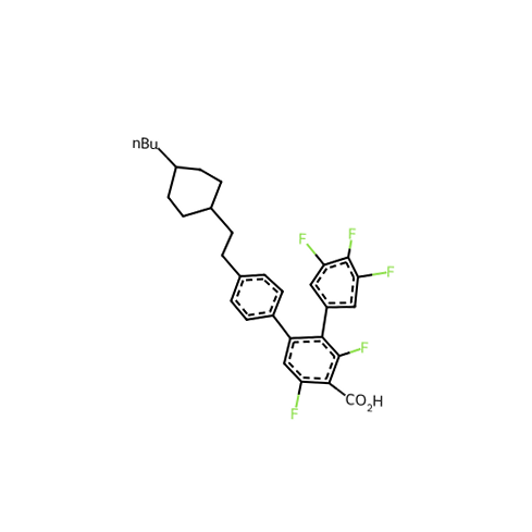 CCCCC1CCC(CCc2ccc(-c3cc(F)c(C(=O)O)c(F)c3-c3cc(F)c(F)c(F)c3)cc2)CC1